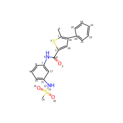 Cc1sc(C(=O)Nc2cccc(NS(C)(=O)=O)c2)cc1-c1ccccc1